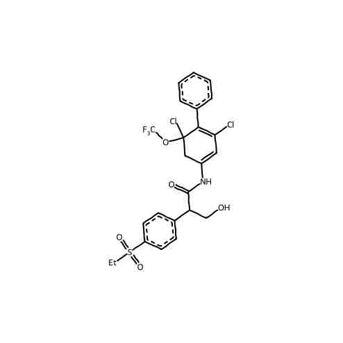 CCS(=O)(=O)c1ccc(C(CO)C(=O)NC2=CC(Cl)=C(c3ccccc3)C(Cl)(OC(F)(F)F)C2)cc1